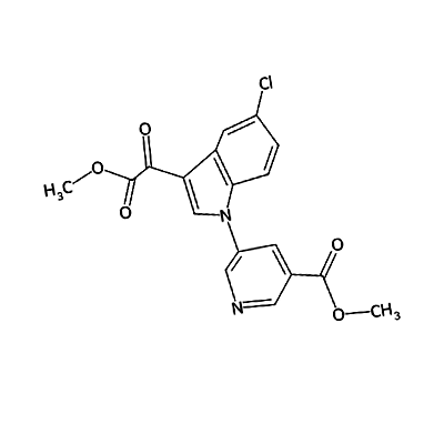 COC(=O)C(=O)c1cn(-c2cncc(C(=O)OC)c2)c2ccc(Cl)cc12